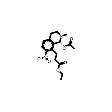 CCOC(=O)CCc1c([N+](=O)[O-])ccc2c1[C@@H](NC(C)=O)N(C)CC2